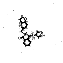 O=c1c2ccccc2c(S(=O)(=O)c2cn[nH]c2)nn1Cc1ccc2c(n1)CCO2